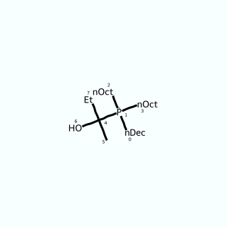 CCCCCCCCCC[P](CCCCCCCC)(CCCCCCCC)C(C)(O)CC